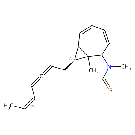 C/C=C\C=C=CC[C@H]1C2C=CC=CC(N(C)C=S)C21C